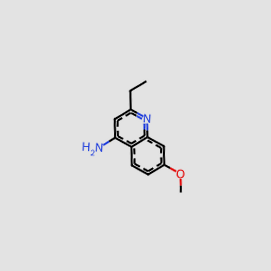 CCc1cc(N)c2ccc(OC)cc2n1